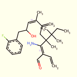 C=C/C(C=O)=C(/N)C(C)(CC(=C)/C(C)=C\C(O)Cc1ccccc1F)C(C)(C)CC